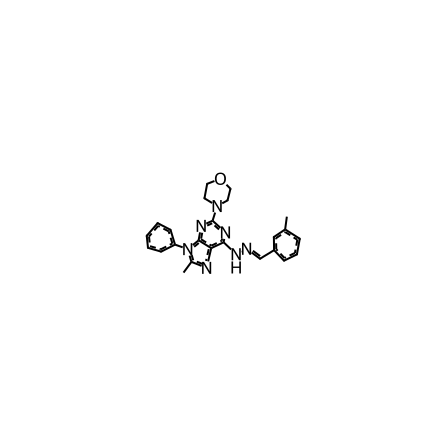 Cc1cccc(/C=N/Nc2nc(N3CCOCC3)nc3c2nc(C)n3-c2ccccc2)c1